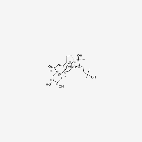 CC(C)(O)CC[C@@H](O)[C@](C)(O)[C@H]1CC=C2C3=CC(=O)[C@@H]4C[C@@H](O)[C@@H](O)C[C@]4(C)[C@@]3(O)CC[C@@]21C